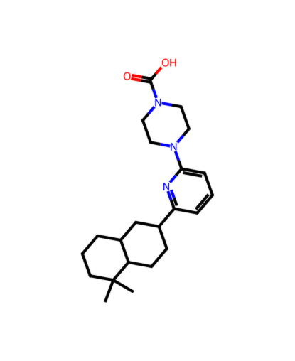 CC1(C)CCCC2CC(c3cccc(N4CCN(C(=O)O)CC4)n3)CCC21